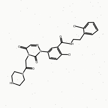 O=C(NCCc1ccccc1Cl)c1cc(-n2ncc(=O)n(CC(=O)N3CCNCC3)c2=O)ccc1Cl